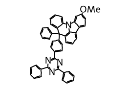 COc1ccc2c3cccc4c3n(c2c1)-c1ccccc1C4(c1ccccc1)c1ccc(-c2nc(-c3ccccc3)nc(-c3ccccc3)n2)cc1